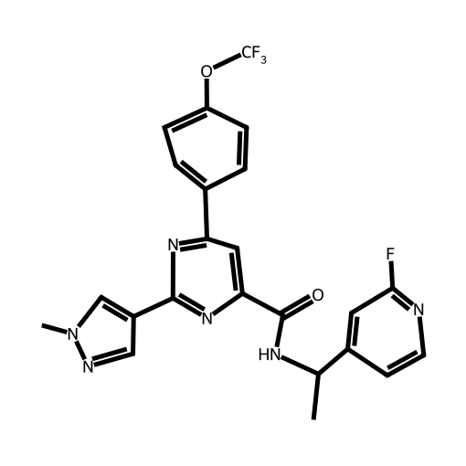 CC(NC(=O)c1cc(-c2ccc(OC(F)(F)F)cc2)nc(-c2cnn(C)c2)n1)c1ccnc(F)c1